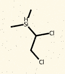 C[SiH](C)C(Cl)CCl